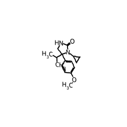 COc1ccc(C2(C(C)C)CNC(=O)N2C2CC2)cc1